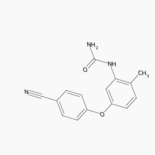 Cc1ccc(Oc2ccc(C#N)cc2)cc1NC(N)=O